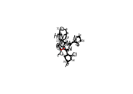 COC(=O)c1c(CN2C3COC[C@H]2CN(S(C)(=O)=O)C3)nc(-c2nccs2)nc1-c1ccc(F)cc1Cl